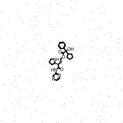 O=C(Nc1cnccn1)C(CCOC(=O)C(O)(c1ccccc1)C1CCCC1)[C@H]1CCCN1